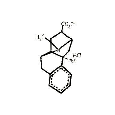 CCOC(=O)C1CC2C3Cc4ccccc4[C@]2(CC)CC1N3C.Cl